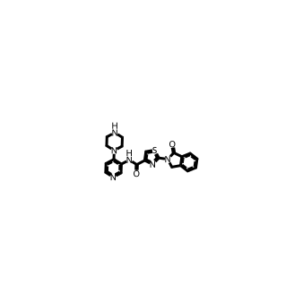 O=C(Nc1cnccc1N1CCNCC1)c1csc(N2Cc3ccccc3C2=O)n1